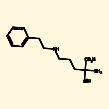 BC(CCCC)(CCCNCCc1ccccc1)C(=O)O